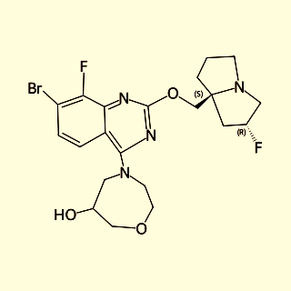 OC1COCCN(c2nc(OC[C@@]34CCCN3C[C@H](F)C4)nc3c(F)c(Br)ccc23)C1